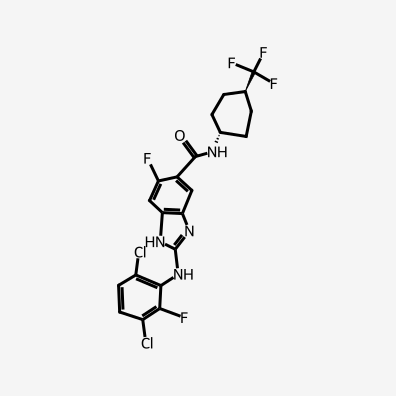 O=C(N[C@H]1CC[C@H](C(F)(F)F)CC1)c1cc2nc(Nc3c(Cl)ccc(Cl)c3F)[nH]c2cc1F